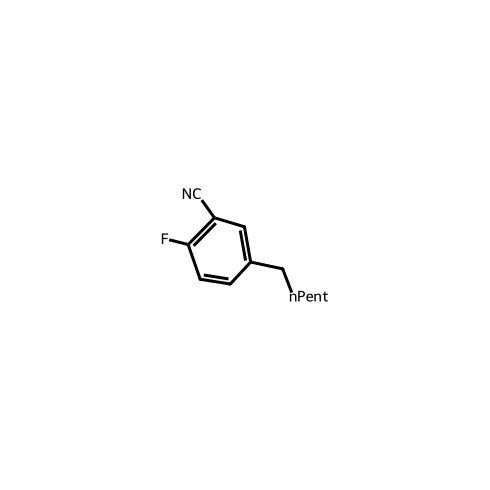 CCCCCCc1ccc(F)c(C#N)c1